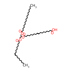 CCCCCCCC/C=C\CCCCCCCC(=O)OCC(COC(=O)CCCCCCCCCCCCCCCCC)OC(=O)CCCCCCC/C=C/CCCCCCCC(=O)O